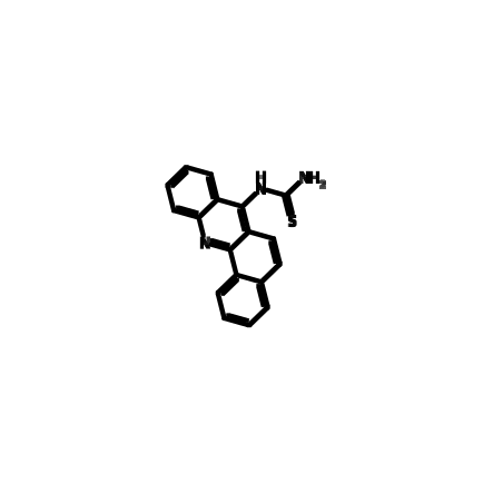 NC(=S)Nc1c2ccccc2nc2c1ccc1ccccc12